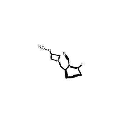 COC1CN(Cc2cccc(F)c2C#N)C1